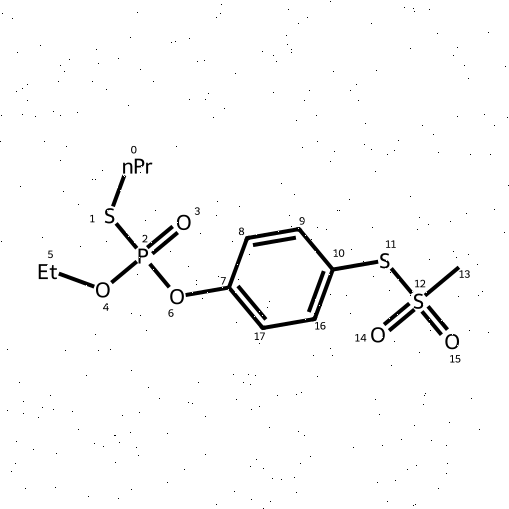 CCCSP(=O)(OCC)Oc1ccc(SS(C)(=O)=O)cc1